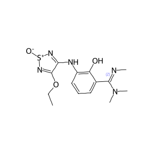 CCOc1n[s+]([O-])nc1Nc1cccc(/C(=N/C)N(C)C)c1O